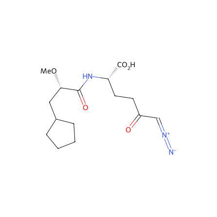 CO[C@@H](CC1CCCC1)C(=O)N[C@@H](CCC(=O)C=[N+]=[N-])C(=O)O